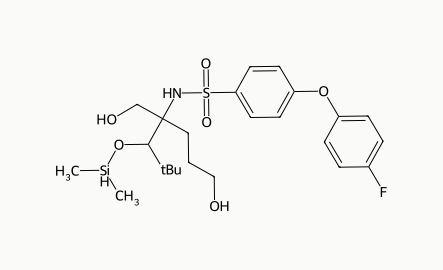 C[SiH](C)OC(C(C)(C)C)C(CO)(CCCO)NS(=O)(=O)c1ccc(Oc2ccc(F)cc2)cc1